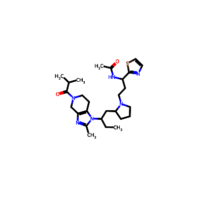 CCC(CC1CCCN1CCC(NC(C)=O)c1nccs1)n1c(C)nc2c1CCN(C(=O)C(C)C)C2